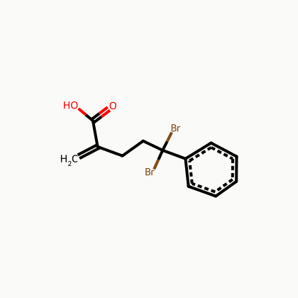 C=C(CCC(Br)(Br)c1ccccc1)C(=O)O